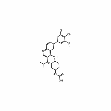 COc1cc(-c2ccc3ncc(C(=O)C(C)C)c(NC4CCC(NC(=O)O)CC4)c3c2)cc(Cl)c1O